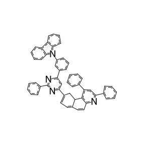 C1=Cc2nc(-c3ccccc3)cc(-c3ccccc3)c2C2CC(c3cc(-c4cccc(-n5c6ccccc6c6ccccc65)c4)nc(-c4ccccc4)n3)=CC=C12